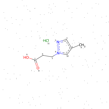 Cc1cnn(CCC(=O)O)c1.Cl